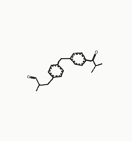 CC(C=O)Cc1ccc(Cc2ccc(C(=O)C(C)C)cc2)cc1